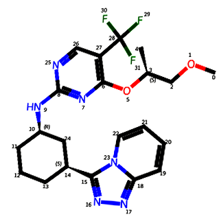 COC[C@H](C)Oc1nc(N[C@@H]2CCC[C@H](c3nnc4ccccn34)C2)ncc1C(F)(F)F